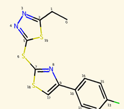 CCc1nnc(Sc2nc(-c3ccc(Cl)cc3)cs2)s1